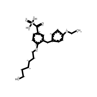 CCOc1ccc(Cc2cc(C(=O)P(=O)(O)O)ccc2OCCCCCCO)cc1